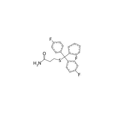 NC(=O)CCSC(c1ccc(F)cc1)(c1ccc(F)cc1)c1ccccc1F